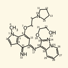 Cn1ccc2c1C(OCCN1CCCC1)=C/C(=N\c1c(OCCO)nn3ccccc13)C2=N